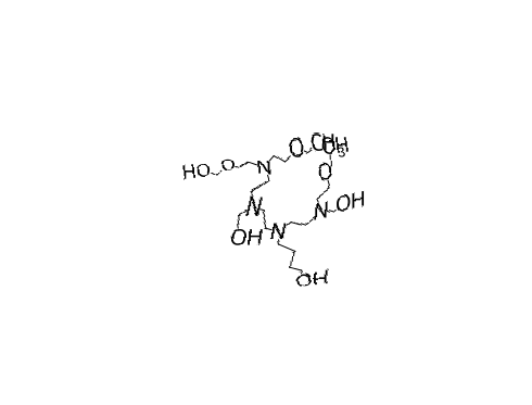 CCOCCN(CCOCO)CCN(CO)CCN(CCCCO)CCN(CO)CCOCO